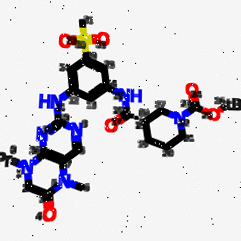 CC(C)N1CC(=O)N(C)c2cnc(Nc3cc(NC(=O)[C@H]4CCCN(C(=O)OC(C)(C)C)C4)cc(S(C)(=O)=O)c3)nc21